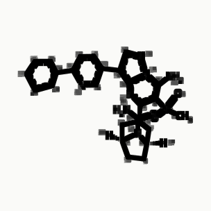 CS(=O)(=O)c1c([C@H]2C[C@H]3CC[C@@H](C2)N3C(N)=O)nc2c(-c3ccc(-c4ccccc4)nc3)cnn2c1N